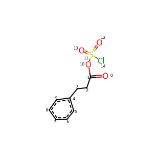 O=C(CCc1ccccc1)OS(=O)(=O)Cl